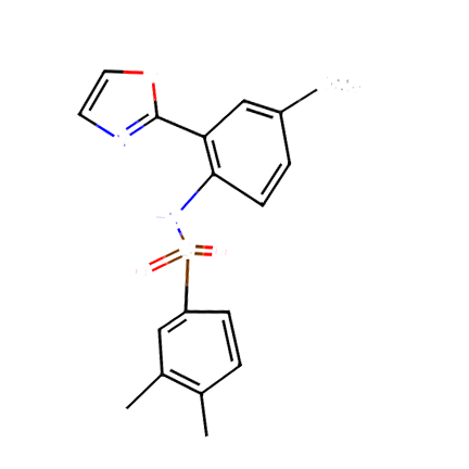 COc1ccc(NS(=O)(=O)c2ccc(C)c(C)c2)c(-c2ncco2)c1